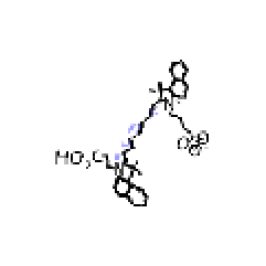 CC1(C)C(/C=C/C=C/C=C/C=C2/N(CCC(=O)O)c3ccc4ccccc4c3C2(C)C)=[N+](CCCCS(=O)(=O)[O-])c2ccc3ccccc3c21